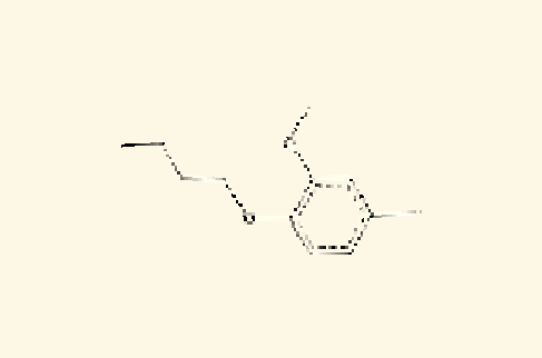 [CH2]c1ccc(OCCCC)c(OC)c1